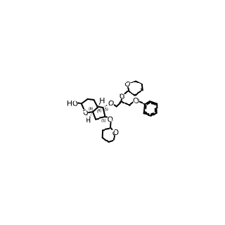 OC1CC[C@H]2[C@H](OCC(COc3ccccc3)OC3CCCCO3)[C@@H](OC3CCCCO3)C[C@H]2O1